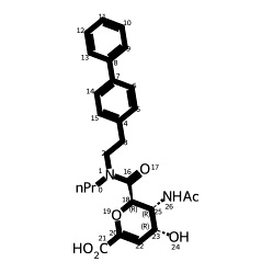 CCCN(CCc1ccc(-c2ccccc2)cc1)C(=O)[C@@H]1OC(C(=O)O)=C[C@@H](O)[C@H]1NC(C)=O